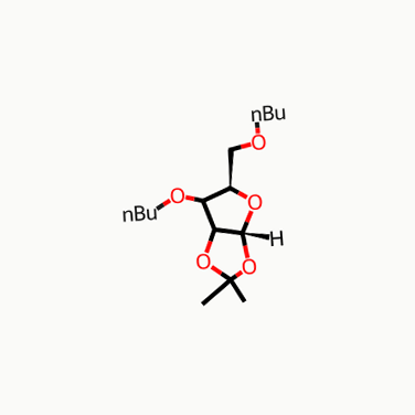 CCCCOC[C@H]1O[C@@H]2OC(C)(C)OC2C1OCCCC